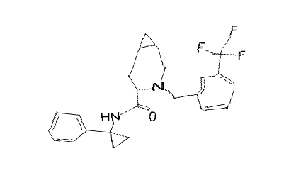 O=C(NC1(c2ccccc2)CC1)C1CC2CC2CN1Cc1cccc(C(F)(F)F)c1